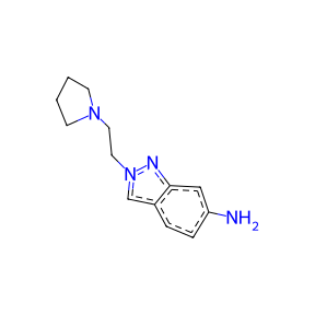 Nc1ccc2cn(CCN3CCCC3)nc2c1